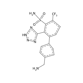 NCc1ccc(-c2ccc(C(F)(F)F)c(S(N)(=O)=O)c2-c2nn[nH]n2)cc1